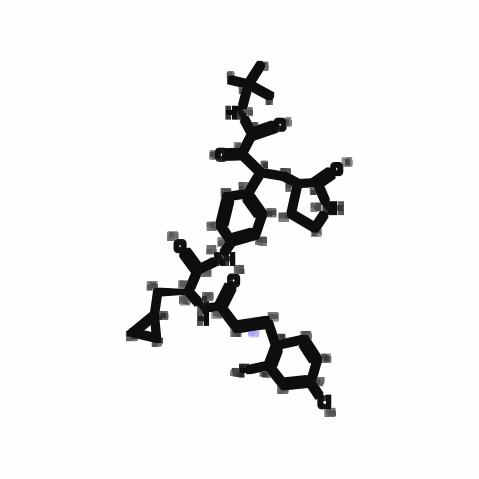 CC(C)(C)NC(=O)C(=O)C(CC1CCNC1=O)c1ccc(NC(=O)[C@H](CC2CC2)NC(=O)/C=C/c2ccc(Cl)cc2F)cc1